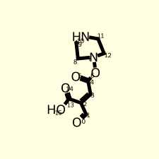 O=C/C(=C/C(=O)ON1CCNCC1)C(=O)O